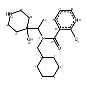 CC(N(CC1CCCCC1)C(=O)c1cccnc1Cl)C1(O)CCNCC1